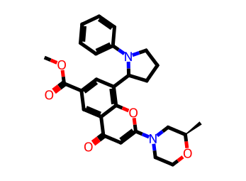 COC(=O)c1cc(C2CCCN2c2ccccc2)c2oc(N3CCO[C@H](C)C3)cc(=O)c2c1